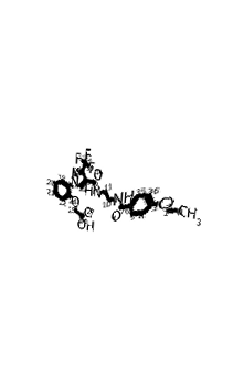 CCOc1ccc(C(=O)NCCNC(=O)c2cn(-c3ccccc3OCC(=O)O)nc2C(F)(F)F)cc1